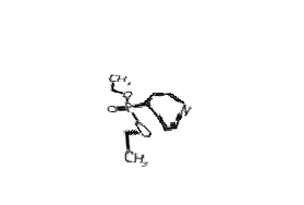 CCOP(=O)(OCC)c1ccncc1